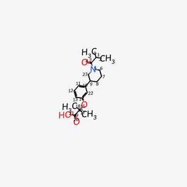 CC(C)C(=O)N1CCCC(c2cccc(OC(C)(C)C(=O)O)c2)C1